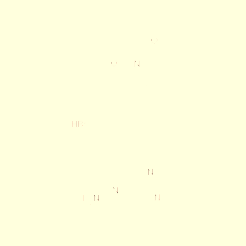 Br.NN1C=NN(Cc2ccc([N+](=O)[O-])cc2)C1